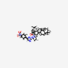 C=C(C)[C@@H]1CC[C@]2(C(=O)N3CCC[C@H]3c3ncc(-c4ccc([N+](=O)[O-])cc4)[nH]3)CC[C@]3(C)[C@H](CC[C@@H]4[C@@]5(C)CC[C@H](C)C(C)(C)[C@@H]5CC[C@]43C)[C@@H]12